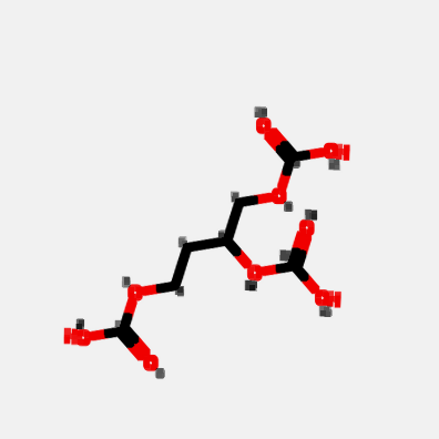 O=C(O)OCCC(COC(=O)O)OC(=O)O